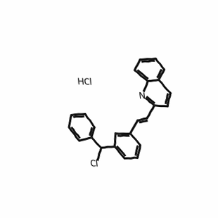 Cl.ClC(c1ccccc1)c1cccc(C=Cc2ccc3ccccc3n2)c1